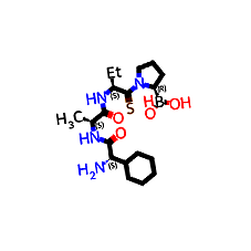 CC[C@H](NC(=O)[C@H](C)NC(=O)[C@@H](N)C1CCCCC1)C(=S)N1CCC[C@H]1B(O)O